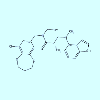 CC(C)CN(Cc1cc(Cl)c2c(c1)OCCCO2)C(=O)[C@@H](C)CN(C)c1cccc2[nH]ccc12